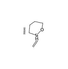 C=C.C=C[SiH]1CCCCO1